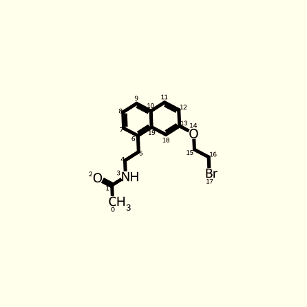 CC(=O)NCCc1cccc2ccc(OCCBr)cc12